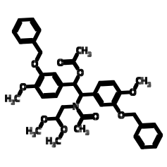 COc1ccc(C(OC(C)=O)C(c2ccc(OC)c(OCc3ccccc3)c2)N(CC(OC)OC)C(C)=O)cc1OCc1ccccc1